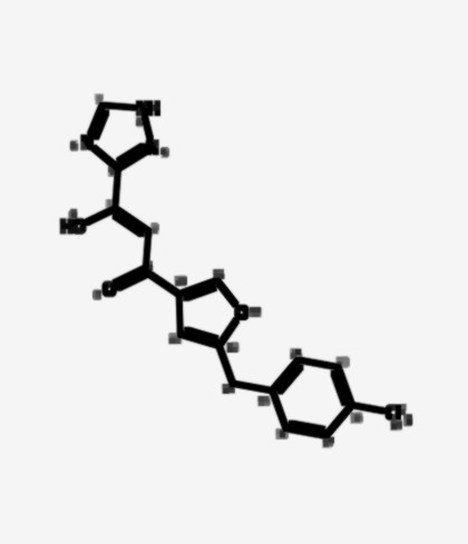 O=C(C=C(O)c1nc[nH]n1)c1coc(Cc2ccc(C(F)(F)F)cc2)c1